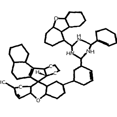 N#CC1C=CC2OC3CCC(C4CC=CC(C5NC(C6=CCCCC6)NC(C6CCCC7OC8CCCCC8C76)N5)C4)CC3C3(C4=C(C5CCCCC5CC4)C4CCCC[C@@H]43)C2C1